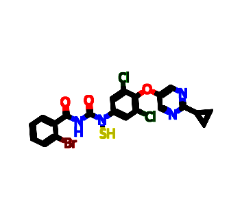 O=C(NC(=O)N(S)c1cc(Cl)c(Oc2cnc(C3CC3)nc2)c(Cl)c1)c1ccccc1Br